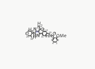 COc1ccccc1C(=O)NCc1ccc(C(=N)/C(C(N)=O)=C(/N)NC2CCOCC2C)cc1